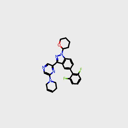 Fc1cccc(F)c1-c1ccc2c(c1)c(-c1cncc(N3CC=CCC3)n1)nn2C1CCCCO1